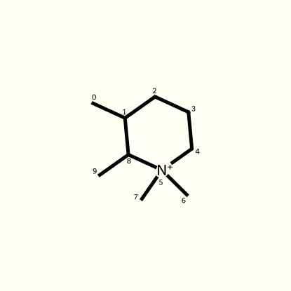 CC1CCC[N+](C)(C)C1C